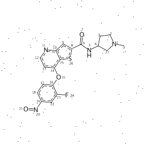 CN1CCC(NC(=O)c2cc3nccc(Oc4ccc(N=O)cc4F)c3s2)C1